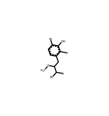 COC(Cc1ccc(Br)c(O)c1Br)C(Br)Br